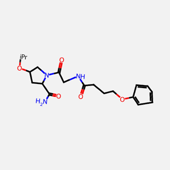 CC(C)OC1CC(C(N)=O)N(C(=O)CNC(=O)CCCOc2ccccc2)C1